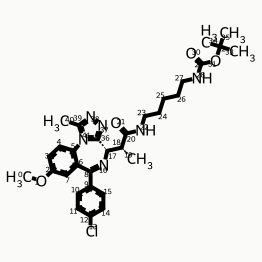 COc1ccc2c(c1)C(c1ccc(Cl)cc1)=N[C@@H]([C@@H](C)C(=O)NCCCCCNC(=O)OC(C)(C)C)c1nnc(C)n1-2